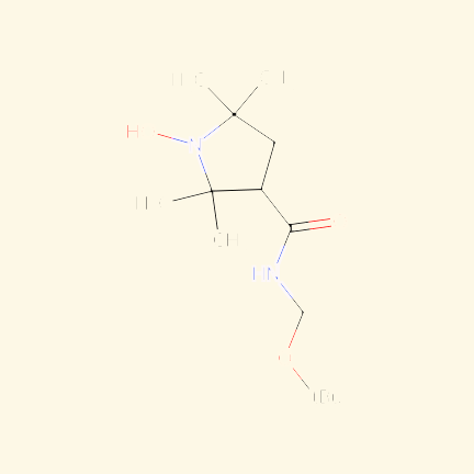 CC(C)(C)OCNC(=O)C1CC(C)(C)N(O)C1(C)C